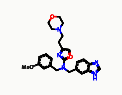 COc1cccc(CN(Cc2ccc3nc[nH]c3c2)c2nc(CCN3CCOCC3)co2)c1